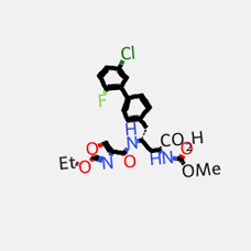 CCOc1nc(C(=O)N[C@H](Cc2ccc(-c3cc(Cl)ccc3F)cc2)C[C@@H](NC(=O)OC)C(=O)O)co1